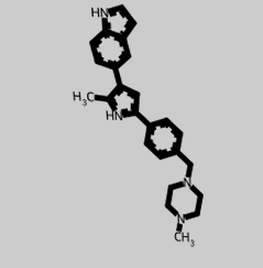 Cc1[nH]c(-c2ccc(CN3CCN(C)CC3)cc2)cc1-c1ccc2[nH]ccc2c1